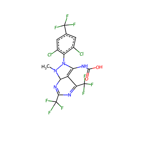 CN1C2N=C(C(F)(F)F)N=C(C(F)(F)F)C2=C(NC(=O)O)N1c1c(Cl)cc(C(F)(F)F)cc1Cl